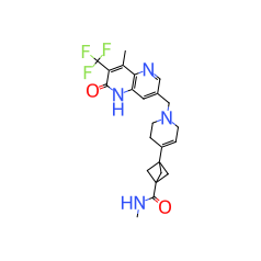 CNC(=O)C12CC(C3=CCN(Cc4cnc5c(C)c(C(F)(F)F)c(=O)[nH]c5c4)CC3)(C1)C2